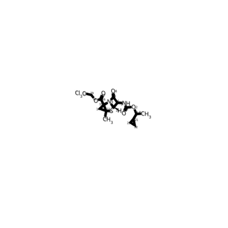 CC(OC(=O)NC1C(=O)N2[C@H]1SC1(C)CC21C(=O)OCC(Cl)(Cl)Cl)C1CC1